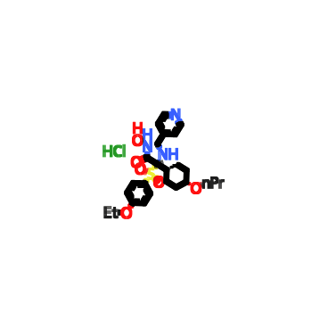 CCCO[C@H]1CC[C@@H]([C@](NCc2ccncc2)(C(=O)NO)S(=O)(=O)c2ccc(OCC)cc2)CC1.Cl